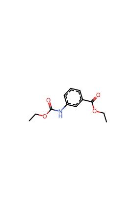 CCOC(=O)Nc1cccc(C(=O)OCC)c1